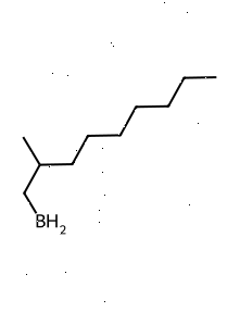 BCC(C)CCCCCCC